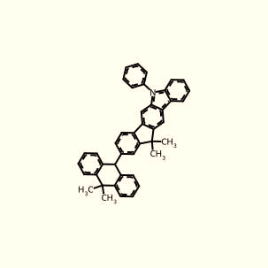 CC1(C)c2cc(C3c4ccccc4C(C)(C)c4ccccc43)ccc2-c2cc3c(cc21)c1ccccc1n3-c1ccccc1